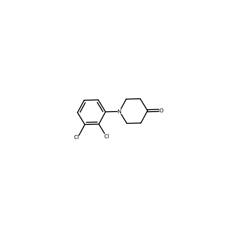 O=C1CCN(c2cccc(Cl)c2Cl)CC1